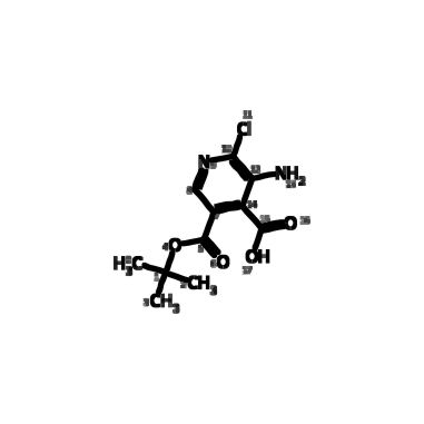 CC(C)(C)OC(=O)c1cnc(Cl)c(N)c1C(=O)O